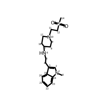 Cn1cc(CCNC2CCN(CCS(C)(=O)=O)CC2)c2ccccc21